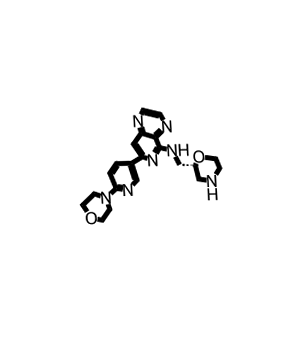 c1cnc2c(NC[C@H]3CNCCO3)nc(-c3ccc(N4CCOCC4)nc3)cc2n1